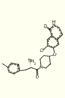 Cc1ccc(C[C@H](N)C(=O)N2CCC(Oc3cc4cc[nH]c(=O)c4cc3Cl)CC2)cc1